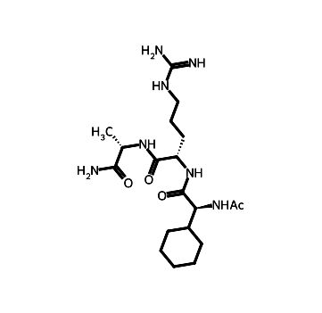 CC(=O)N[C@H](C(=O)N[C@@H](CCCNC(=N)N)C(=O)N[C@@H](C)C(N)=O)C1CCCCC1